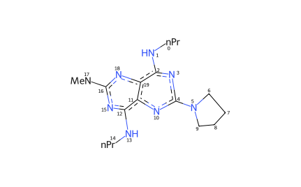 CCCNc1nc(N2CCCC2)nc2c(NCCC)nc(NC)nc12